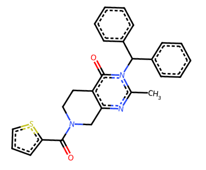 Cc1nc2c(c(=O)n1C(c1ccccc1)c1ccccc1)CCN(C(=O)c1cccs1)C2